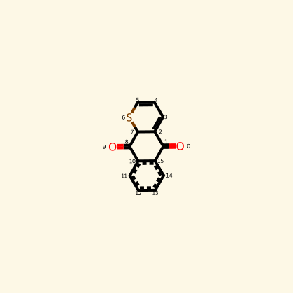 O=C1C2=CC=CSC2C(=O)c2ccccc21